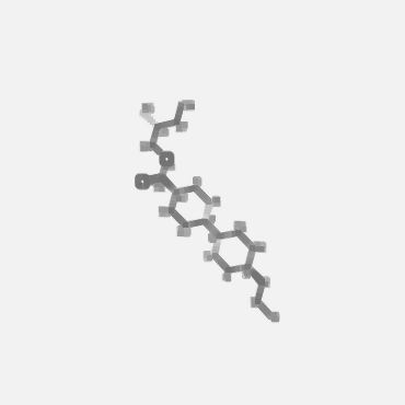 CCC[C@H]1CC[C@H]([C@H]2CC[C@H](C(=O)OC[C@H](C)CC)CC2)CC1